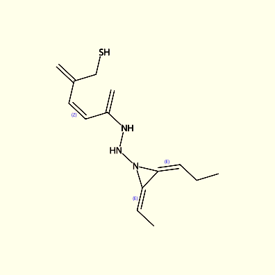 C=C(/C=C\C(=C)NNN1C(=C/C)/C1=C\CC)CS